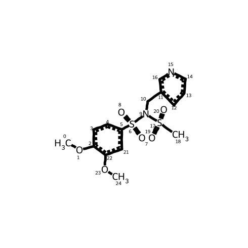 COc1ccc(S(=O)(=O)N(Cc2cccnc2)S(C)(=O)=O)cc1OC